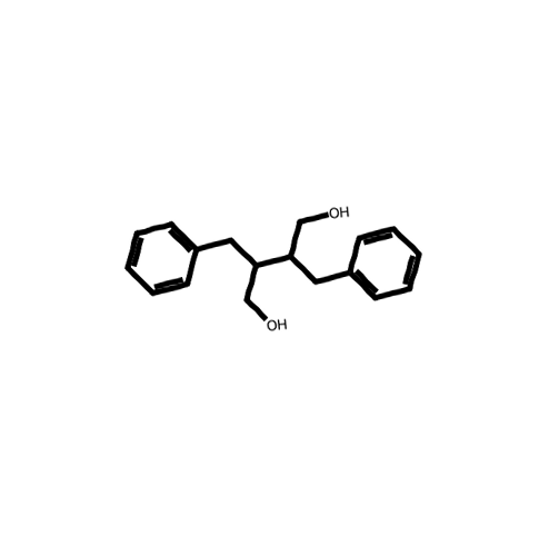 OCC(Cc1ccccc1)C(CO)Cc1ccccc1